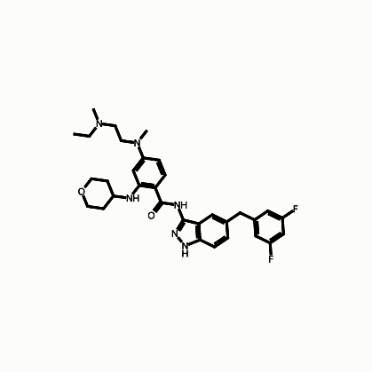 CCN(C)CCN(C)c1ccc(C(=O)Nc2n[nH]c3ccc(Cc4cc(F)cc(F)c4)cc23)c(NC2CCOCC2)c1